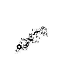 COc1nc(NCCC(C)(C)C(O[SiH2]C)O[SiH2]C)nc(OC)c1NC(=O)c1csc(Oc2cc(C(C)C)ccc2C)n1